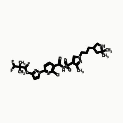 Cc1nn(CCCC2CNC(C)(C)C2)cc1S(=O)(=O)NC(=O)c1ccc(-n2ccc(OC(F)C(C)(C)C(F)F)n2)nc1Cl